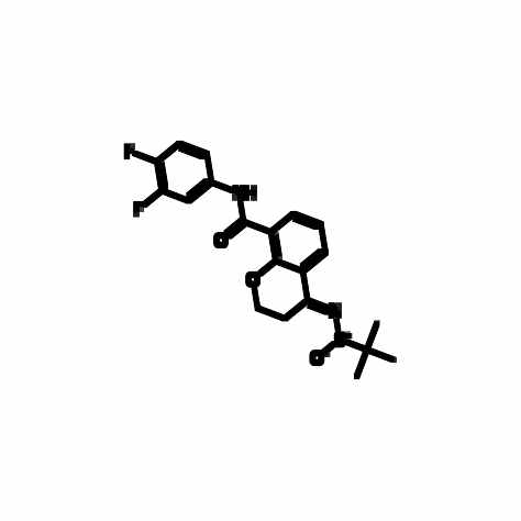 CC(C)(C)[S+]([O-])/N=C1\CCOc2c(C(=O)Nc3ccc(F)c(F)c3)cccc21